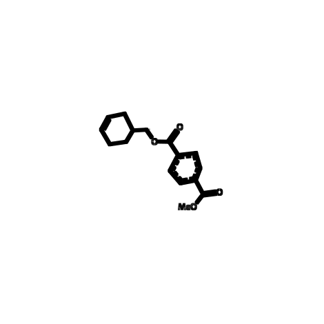 [CH2]OC(=O)c1ccc(C(=O)O[CH]C2CC=CCC2)cc1